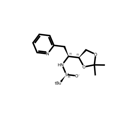 CC1(C)OC[C@H]([C@H](Cc2ccccn2)N[S@@+]([O-])C(C)(C)C)O1